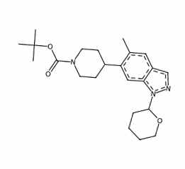 Cc1cc2cnn(C3CCCCO3)c2cc1C1CCN(C(=O)OC(C)(C)C)CC1